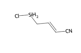 N#CC=CC[SiH2]Cl